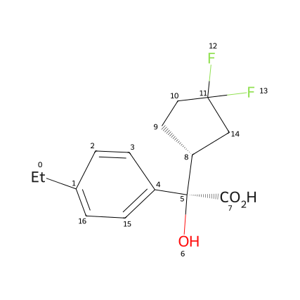 CCc1ccc([C@@](O)(C(=O)O)[C@@H]2CCC(F)(F)C2)cc1